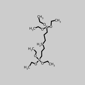 CCO[Si](CCC[SiH2]CCC[Si](OCC)(OCC)OCC)(OCC)OCC